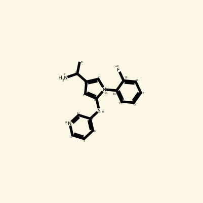 CC(N)c1cc(Sc2cccnc2)n(-c2ccccc2F)c1